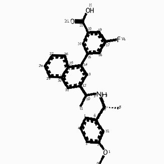 COc1cccc([C@@H](C)NC(C)c2cc(-c3cc(F)cc(C(=O)O)c3)c3ccccc3c2)c1